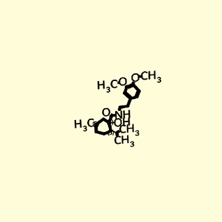 COc1ccc(CCNC(=O)[C@]2(O)C[C@H](C)CC[C@H]2C(C)C)cc1OC